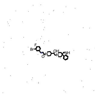 O=C(/C=C/c1ccc(F)c(Br)c1)N1CCC(C(O)CN2CCC3(CC2)CNc2ccccc23)CC1